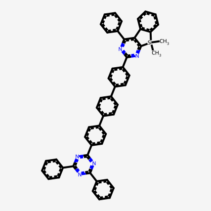 C[Si]1(C)c2ccccc2-c2c(-c3ccccc3)nc(-c3ccc(-c4ccc(-c5ccc(-c6nc(-c7ccccc7)nc(-c7ccccc7)n6)cc5)cc4)cc3)nc21